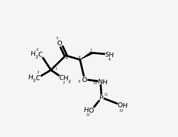 CC(C)(C)C(=O)[C@@H](CS)ONP(O)O